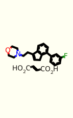 Fc1cccc(-c2cccc3c2CC=C3CCN2CCOCC2)c1.O=C(O)C=CC(=O)O